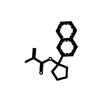 C=C(C)C(=O)OC1(c2ccc3ccccc3c2)CCCC1